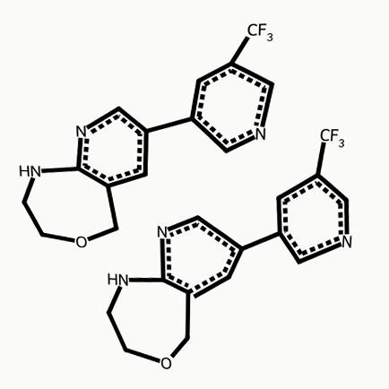 FC(F)(F)c1cncc(-c2cnc3c(c2)COCCN3)c1.FC(F)(F)c1cncc(-c2cnc3c(c2)COCCN3)c1